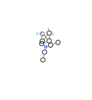 Cc1cc(C)c2c(c1)C1(C3=C(C(F)=CC3)c3ccccc31)c1c(-c3ccccc3N(c3ccc(-c4ccccc4)cc3)c3ccc(-c4ccccc4)cc3)cccc1-2